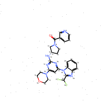 O=C(c1cccnc1)N1CC[C@H](Nc2nc(N3CCOCC3)cc(-n3c(C(F)F)nc4ccccc43)n2)C1